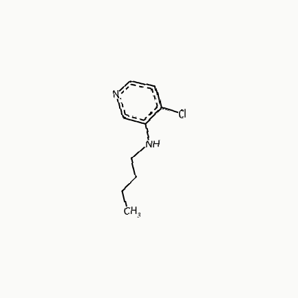 CCCCNc1cnccc1Cl